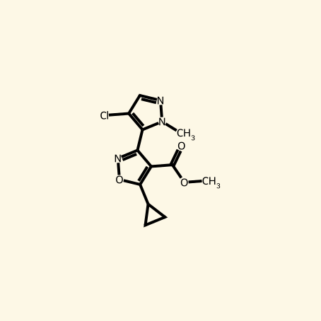 COC(=O)c1c(-c2c(Cl)cnn2C)noc1C1CC1